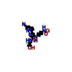 COC(=O)NC1CC2(C1)CC(Nc1cc(-c3ccc4cc(C#N)cnn34)ncc1C(=O)NC[C@@H](F)C(C)(C)O)C2